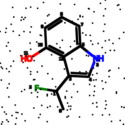 CC(F)c1c[nH]c2cccc(O)c12